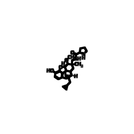 COC1[C@@H]2Oc3c(O)ccc4c3[C@@]23CCN(CC2CC2)[C@H](C4)C3C[C@@]1(C)CNC(=O)C1CCCN1